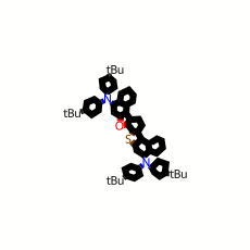 CC(C)(C)c1ccc(N(c2ccc(C(C)(C)C)cc2)c2cc3oc4c(ccc5c4sc4cc(N(c6ccc(C(C)(C)C)cc6)c6ccc(C(C)(C)C)cc6)c6ccccc6c45)c3c3ccccc23)cc1